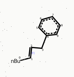 CCCC/C=C/Cc1ccccc1